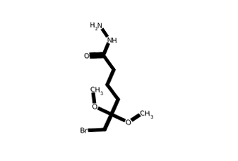 COC(CBr)(CCCC(=O)NN)OC